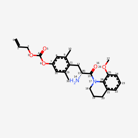 C=CCOC(=O)Oc1cc(C)c(C[C@@H](N)C(=O)N2CCCc3cccc(OC)c32)c(C)c1